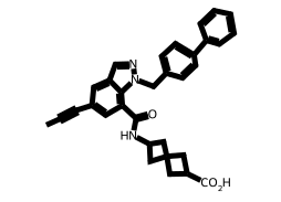 CC#Cc1cc(C(=O)NC2CC3(C2)CC(C(=O)O)C3)c2c(cnn2Cc2ccc(-c3ccccc3)cc2)c1